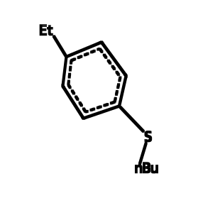 CCCCSc1ccc(CC)cc1